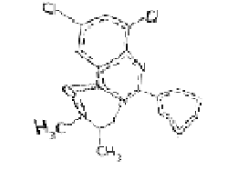 CNC(C)Cn1c(-c2ccccc2)nc2c(Cl)cc(Cl)cc2c1=O